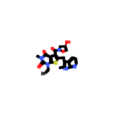 Cc1[nH]c2ncccc2c1Cc1sc2c(c1C(=O)N1C[C@H](O)CO1)c(=O)n(C)c(=O)n2CC(C)C